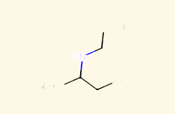 CCCCCC(CC(=O)O)NCC(=O)O